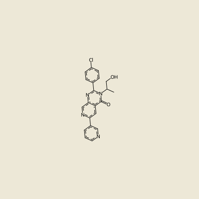 CC(CO)n1c(-c2ccc(Cl)cc2)nc2cnc(-c3cccnc3)cc2c1=O